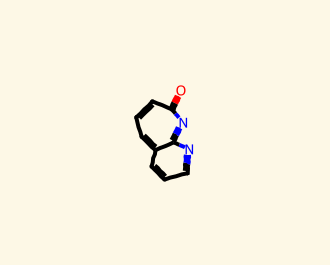 O=c1cccc2cccnc2n1